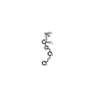 Nc1c(-c2cc(Cc3ccc(OCCc4ccccn4)nc3)no2)ccc[n+]1COP(=O)([O-])O